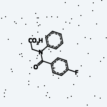 O=C(O)CN(C(=O)c1ccc(F)cc1)c1ccccc1